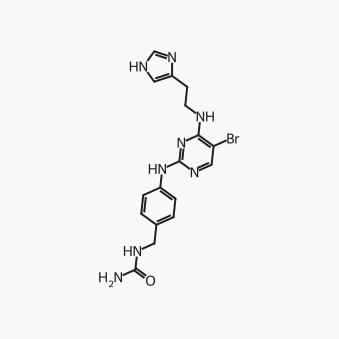 NC(=O)NCc1ccc(Nc2ncc(Br)c(NCCc3c[nH]cn3)n2)cc1